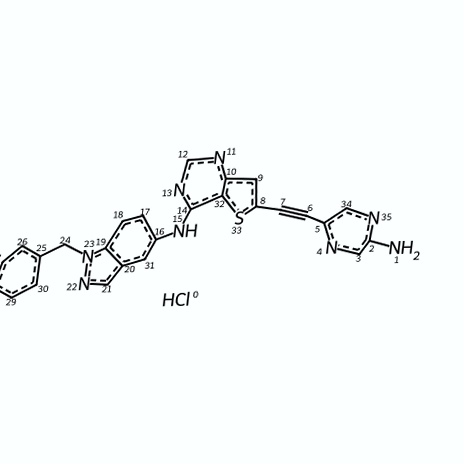 Cl.Nc1cnc(C#Cc2cc3ncnc(Nc4ccc5c(cnn5Cc5ccccc5)c4)c3s2)cn1